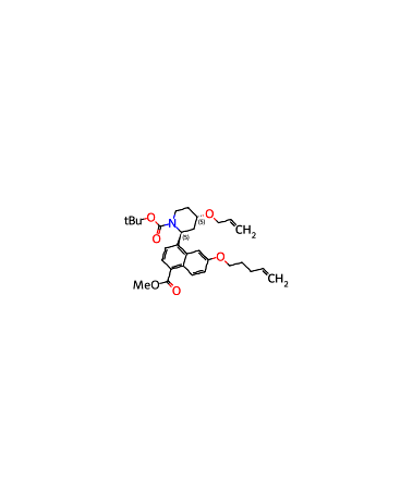 C=CCCCOc1ccc2c(C(=O)OC)ccc([C@@H]3C[C@@H](OCC=C)CCN3C(=O)OC(C)(C)C)c2c1